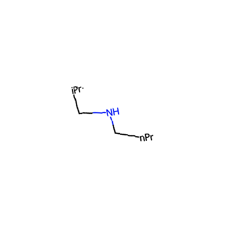 CCCCNC[C](C)C